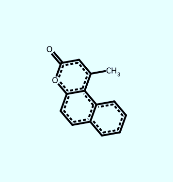 Cc1cc(=O)oc2ccc3ccccc3c12